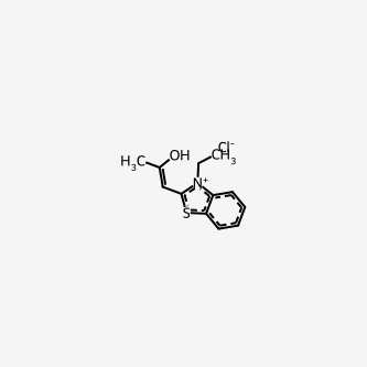 CC[n+]1c(C=C(C)O)sc2ccccc21.[Cl-]